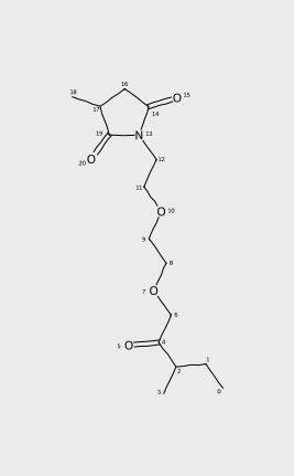 CCC(C)C(=O)COCCOCCN1C(=O)CC(C)C1=O